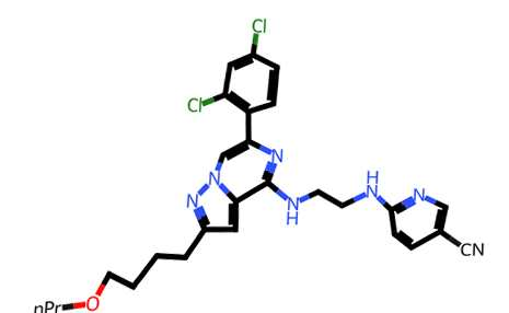 CCCOCCCCc1cc2c(NCCNc3ccc(C#N)cn3)nc(-c3ccc(Cl)cc3Cl)cn2n1